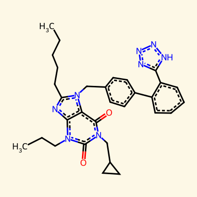 CCCCCc1nc2c(c(=O)n(CC3CC3)c(=O)n2CCC)n1Cc1ccc(-c2ccccc2-c2nnn[nH]2)cc1